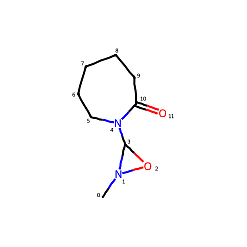 CN1OC1N1CCCCCC1=O